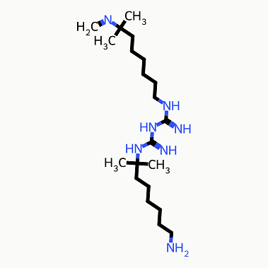 C=NC(C)(C)CCCCCCNC(=N)NC(=N)NC(C)(C)CCCCCCN